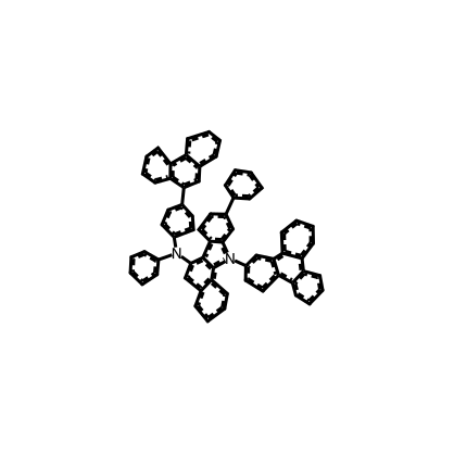 c1ccc(-c2ccc3c4c(N(c5ccccc5)c5ccc(-c6cc7ccccc7c7ccccc67)cc5)cc5ccccc5c4n(-c4ccc5c6ccccc6c6ccccc6c5c4)c3c2)cc1